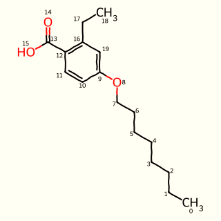 CCCCCCCCOc1ccc(C(=O)O)c(CC)c1